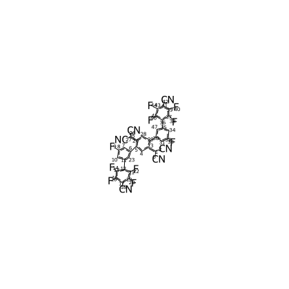 N#CC(C#N)=c1cc(-c2cc(F)cc(-c3c(F)c(F)c(C#N)c(F)c3F)c2)c(=C(C#N)C#N)cc1-c1cc(F)cc(-c2c(F)c(F)c(C#N)c(F)c2F)c1